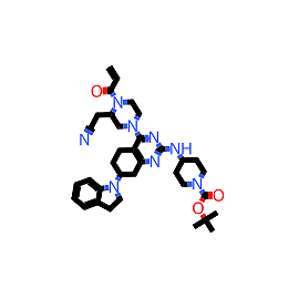 C=CC(=O)N1CCN(c2nc(NC3CCN(C(=O)OC(C)(C)C)CC3)nc3c2CCC(N2CCc4ccccc42)C3)CC1CC#N